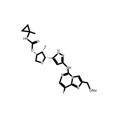 COCc1cn2c(Nc3cc([C@@H]4OC[C@H](OC(=O)NC5(C)CC5)[C@@H]4F)[nH]n3)ncc(F)c2n1